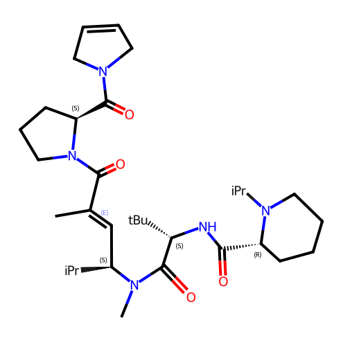 C/C(=C\[C@H](C(C)C)N(C)C(=O)[C@@H](NC(=O)[C@H]1CCCCN1C(C)C)C(C)(C)C)C(=O)N1CCC[C@H]1C(=O)N1CC=CC1